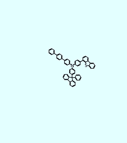 c1ccc(-c2ccc(-c3ccc(N(c4ccc(-c5cccc6c5sc5ccccc56)cc4)c4ccc(C5(c6ccccc6)c6ccccc6-c6ccccc65)cc4)cc3)cc2)cc1